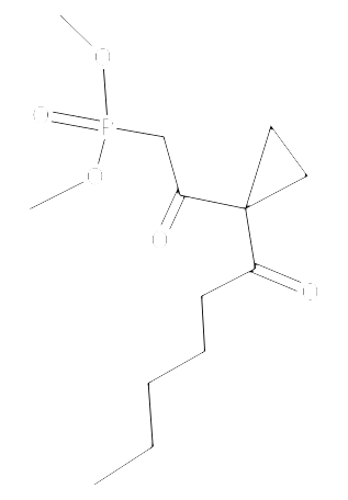 CCCCCC(=O)C1(C(=O)CP(=O)(OC)OC)CC1